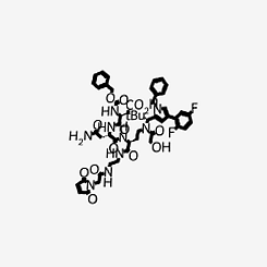 CC(C)(C)[C@H](c1cc(-c2cc(F)ccc2F)cn1Cc1ccccc1)N(CC[C@H](NC(=O)[C@H](CC(N)=O)NC(=O)[C@H](CC(=O)O)NC(=O)OCc1ccccc1)C(=O)NCCNC(=O)CN1C(=O)C=CC1=O)C(=O)CO